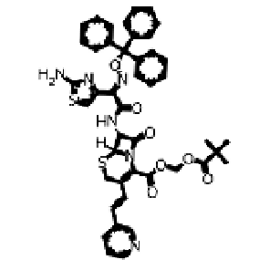 CC(C)(C)C(=O)OCOC(=O)C1=C(/C=C/c2cccnc2)CS[C@@H]2[C@H](NC(=O)/C(=N/OC(c3ccccc3)(c3ccccc3)c3ccccc3)c3csc(N)n3)C(=O)N12